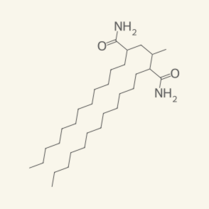 CCCCCCCCCCCCC(CC(C)C(CCCCCCCCCCCC)C(N)=O)C(N)=O